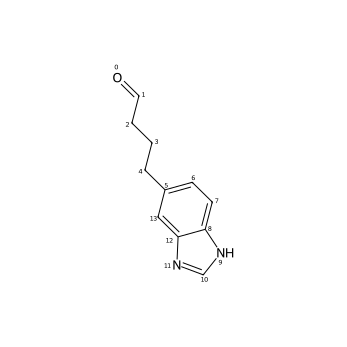 O=CCCCc1ccc2[nH]cnc2c1